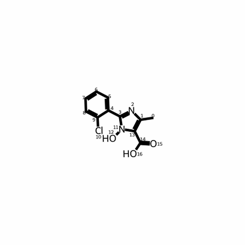 Cc1nc(-c2ccccc2Cl)n(O)c1C(=O)O